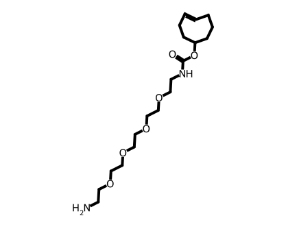 NCCOCCOCCOCCOCCNC(=O)OC1CC/C=C/CCC1